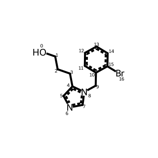 OCCCc1cncn1Cc1ccccc1Br